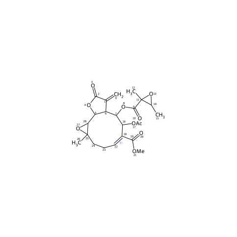 C=C1C(=O)OC2C1C(OC(=O)C1(C)OC1C)C(OC(C)=O)/C(C(=O)OC)=C\CCC1(C)OC21